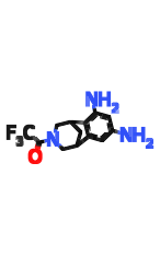 Nc1cc(N)c2c(c1)C1CC2CN(C(=O)C(F)(F)F)C1